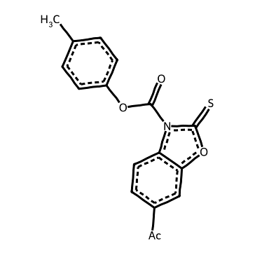 CC(=O)c1ccc2c(c1)oc(=S)n2C(=O)Oc1ccc(C)cc1